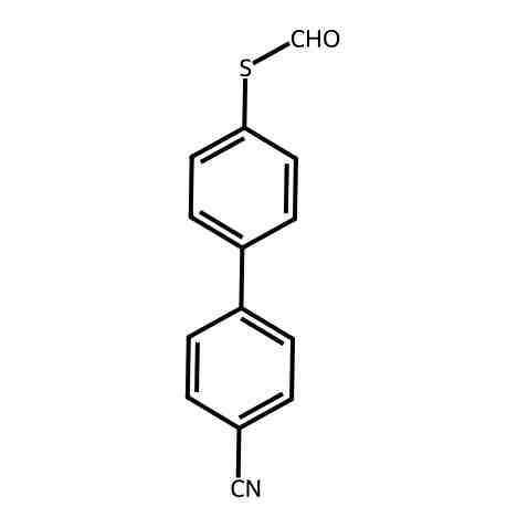 N#Cc1ccc(-c2ccc(SC=O)cc2)cc1